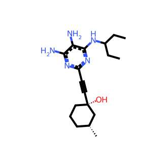 CCC(CC)Nc1nc(C#C[C@]2(O)CCC[C@@H](C)C2)nc(N)c1N